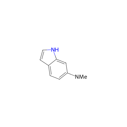 CNc1ccc2cc[nH]c2c1